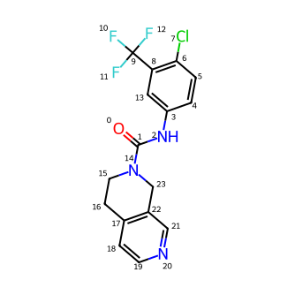 O=C(Nc1ccc(Cl)c(C(F)(F)F)c1)N1CCc2ccncc2C1